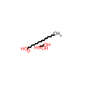 CCCCCC=CCC=CCCCCCCCC(=O)O.OCC(O)CO